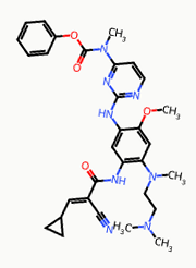 COc1cc(N(C)CCN(C)C)c(NC(=O)/C(C#N)=C/C2CC2)cc1Nc1nccc(N(C)C(=O)Oc2ccccc2)n1